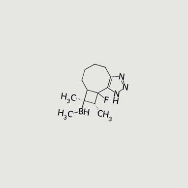 CB[C@@]1(C)C2CCCCc3nn[nH]c3C2(F)[C@@H]1C